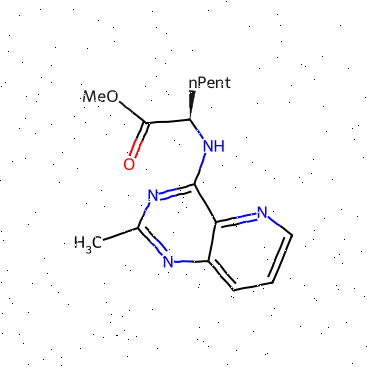 CCCCC[C@@H](Nc1nc(C)nc2cccnc12)C(=O)OC